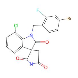 O=C1CC2(C(=O)[N]1)C(=O)N(Cc1ccc(Br)cc1F)c1c(Cl)cccc12